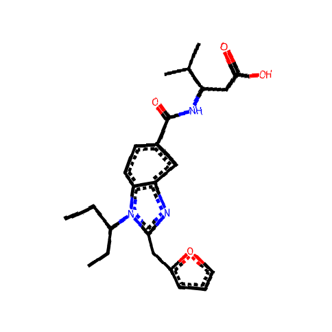 CCC(CC)n1c(Cc2ccco2)nc2cc(C(=O)NC(CC(=O)O)C(C)C)ccc21